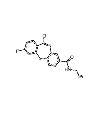 CC(C)CNC(=O)c1ccc2c(c1)N=C(Cl)c1ccc(F)cc1S2